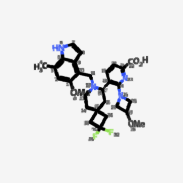 COc1cc(C)c2[nH]ccc2c1CN1CCC2(C[C@@H]1c1ccc(C(=O)O)nc1N1CC(OC)C1)CC(F)(F)C2